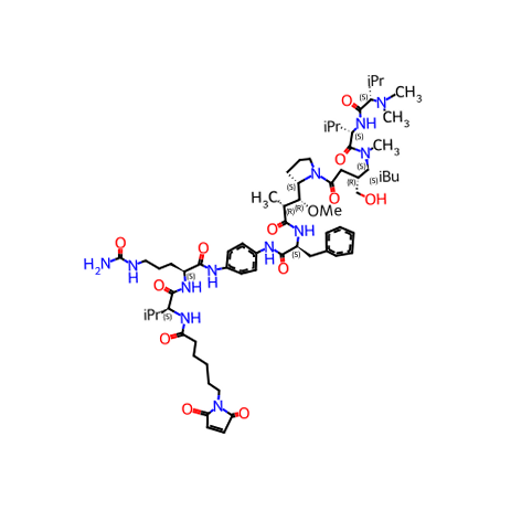 CC[C@H](C)[C@@H]([C@H](CO)CC(=O)N1CCC[C@H]1[C@H](OC)[C@@H](C)C(=O)N[C@@H](Cc1ccccc1)C(=O)Nc1ccc(NC(=O)[C@H](CCCNC(N)=O)NC(=O)[C@@H](NC(=O)CCCCCN2C(=O)C=CC2=O)C(C)C)cc1)N(C)C(=O)[C@@H](NC(=O)[C@H](C(C)C)N(C)C)C(C)C